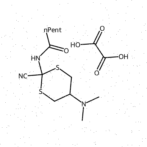 CCCCCC(=O)NC1(C#N)SCC(N(C)C)CS1.O=C(O)C(=O)O